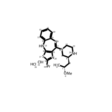 CO[C@H](C)C[C@H]1CN(C2=Nc3ccccc3Nc3sc(C(C)C)nc32)CCN1.Cl.Cl